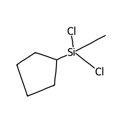 C[Si](Cl)(Cl)C1CCCC1